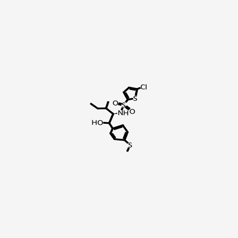 CCC(C)[C@H](NS(=O)(=O)c1ccc(Cl)s1)C(O)c1ccc(SC)cc1